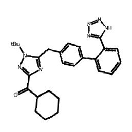 CC(C)(C)n1nc(C(=O)C2CCCCC2)nc1Cc1ccc(-c2ccccc2-c2nnn[nH]2)cc1